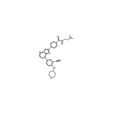 CN(C)CCNC(=O)c1ccc(-c2cc3nccc(-c4ccc(OC5CCOCC5)c(C#N)c4)c3o2)cc1